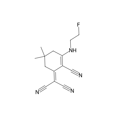 CC1(C)CC(NCCF)=C(C#N)C(=C(C#N)C#N)C1